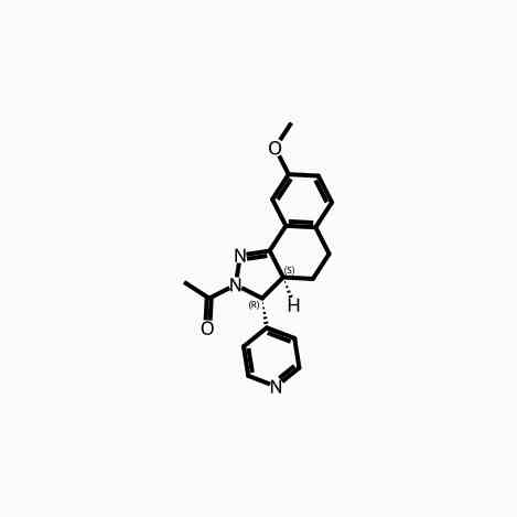 COc1ccc2c(c1)C1=NN(C(C)=O)[C@@H](c3ccncc3)[C@@H]1CC2